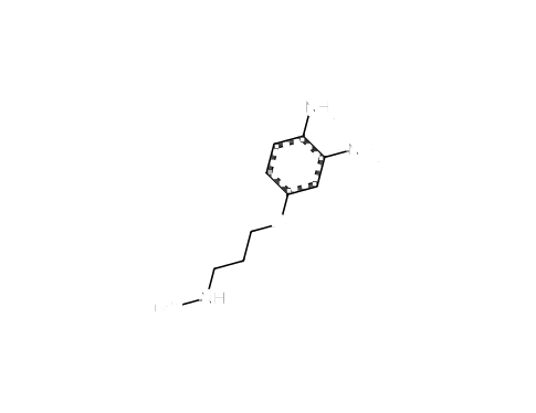 CCCNCCCOc1ccc(N)c([N+](=O)[O-])c1